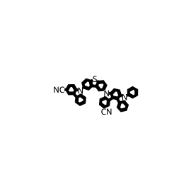 N#Cc1ccc2c(c1)c1ccccc1n2-c1ccc2sc3ccc(-n4c5ccc(C#N)cc5c5c6c7ccccc7n(-c7ccccc7)c6ccc54)cc3c2c1